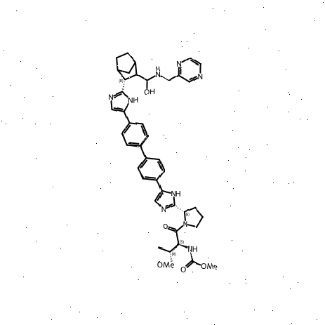 COC(=O)N[C@H](C(=O)N1CCC[C@H]1c1ncc(-c2ccc(-c3ccc(-c4cnc([C@@H]5C6CCC(C6)C5C(O)NCc5cnccn5)[nH]4)cc3)cc2)[nH]1)[C@@H](C)OC